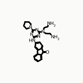 NCCN(CCN)c1nc(Nc2ccc3c(c2)-c2ccccc2C3=O)nc(N2CCCCC2)n1